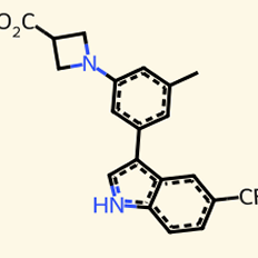 Cc1cc(-c2c[nH]c3ccc(C(F)(F)F)cc23)cc(N2CC(C(=O)O)C2)c1